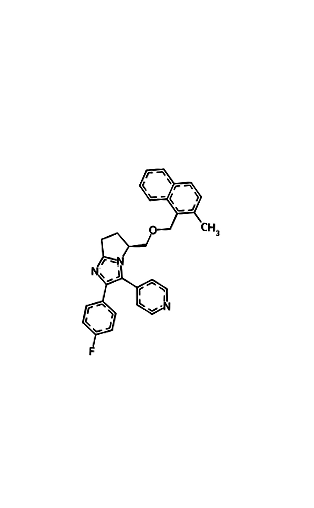 Cc1ccc2ccccc2c1COC[C@@H]1CCc2nc(-c3ccc(F)cc3)c(-c3ccncc3)n21